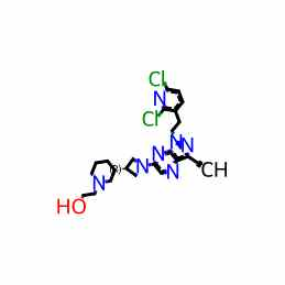 C#Cc1nn(CCc2ccc(Cl)nc2Cl)c2nc(N3CC([C@H]4CCCN(CCO)C4)C3)cnc12